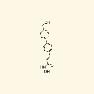 O=C(C=Cc1ccc(-c2ccc(CO)cc2)cc1)NO